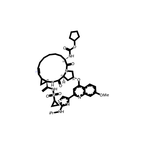 C=C(NS(=O)(=O)C1CC1)[C@@]12CC1/C=C\CCCCC[C@H](NC(=O)OC1CCCC1)C(=O)N1C[C@H](Oc3cc(-c4csc(NC(C)C)n4)nc4cc(OC)ccc34)C[C@H]1C(=O)N2